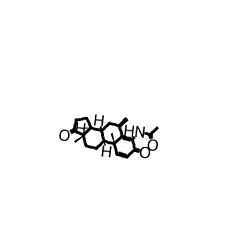 C=C1C[C@@H]2[C@H](CC[C@]3(C)C(=O)CC[C@@H]23)[C@@]2(C)C=CC(=O)C(NC(C)=O)=C12